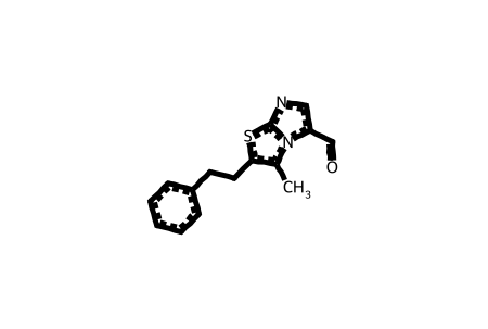 Cc1c(CCc2ccccc2)sc2ncc(C=O)n12